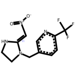 O=[N+]([O-])/C=C1\NCCN1Cc1ccc(C(F)(F)F)nc1